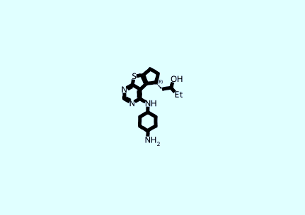 CCC(O)C[C@H]1CCc2sc3ncnc(NC4CCC(N)CC4)c3c21